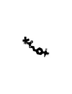 CC(C)(C)NC(=O)OCCc1ccc(C(F)(F)F)cc1